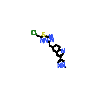 Cn1cc(-c2cnc3ccc(Cc4nnc5sc(CCl)nn45)cc3c2)cn1